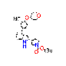 CC(C)(C)OC(=O)N1CC=C(c2cc3c(-c4ccc(OC5CCOCC5)c(C#N)c4)cccc3[nH]2)C1